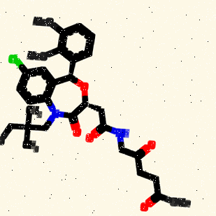 COC(=O)CCC(=O)CNC(=O)C[C@H]1O[C@H](c2cccc(OC)c2OC)c2cc(Cl)ccc2N(CC(C)(C)COC(C)=O)C1=O